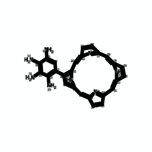 Nc1cc(-c2cc3cc4nc(cc5ccc(cc6nc(cc2[nH]3)C=C6)[nH]5)C=C4)c(N)c(N)c1N